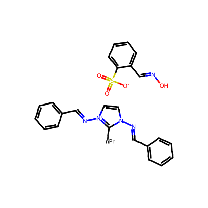 CCCc1n(N=Cc2ccccc2)cc[n+]1N=Cc1ccccc1.O=S(=O)([O-])c1ccccc1C=NO